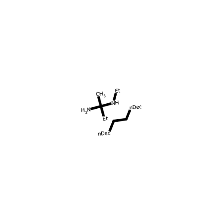 CCCCCCCCCCCCCCCCCCCCCC.CCNC(C)(N)CC